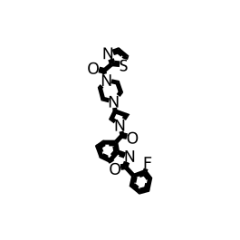 O=C(c1nccs1)N1CCN(C2CN(C(=O)c3cccc4oc(-c5ccccc5F)nc34)C2)CC1